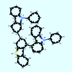 c1ccc(-n2c3ccccc3c3ccc(-c4cc(-c5cccc6c5c5ccccc5n6-c5ccccc5)c5c(c4)sc4ccccc45)cc32)cc1